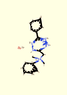 C[N+](C)(Cc1nnc(-c2ccccc2)nn1)c1ccccc1.[Br-]